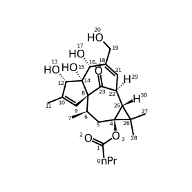 CCCC(=O)O[C@@]12C[C@@H](C)[C@]34C=C(C)[C@H](O)[C@@]3(O)[C@H](O)C(CO)=C[C@H](C4=O)[C@@H]1C2(C)C